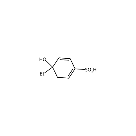 CCC1(O)C=CC(S(=O)(=O)O)=CC1